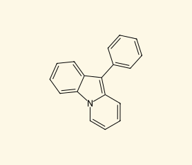 c1ccc(-c2c3ccccc3n3ccccc23)cc1